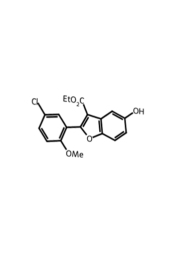 CCOC(=O)c1c(-c2cc(Cl)ccc2OC)oc2ccc(O)cc12